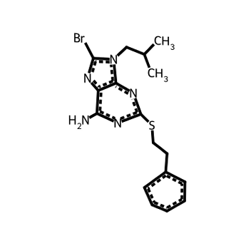 CC(C)Cn1c(Br)nc2c(N)nc(SCCc3ccccc3)nc21